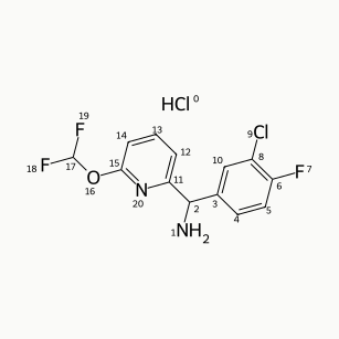 Cl.NC(c1ccc(F)c(Cl)c1)c1cccc(OC(F)F)n1